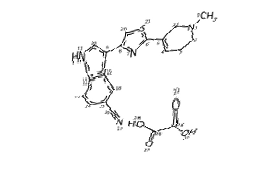 CN1CCC=C(c2nc(-c3c[nH]c4ccc(C#N)cc34)cs2)C1.O=C(O)C(=O)O